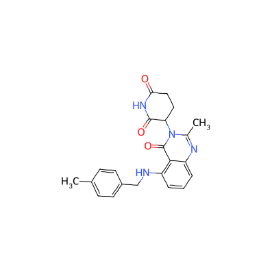 Cc1ccc(CNc2cccc3nc(C)n(C4CCC(=O)NC4=O)c(=O)c23)cc1